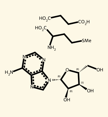 CSCCC(N)C(=O)O.Nc1ncnc2c1ncn2[C@@H]1O[C@H](CO)[C@@H](O)[C@H]1O.O=C(O)CCC(=O)O